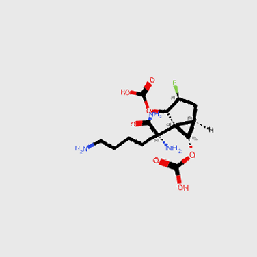 NCCCC[C@@](N)(C(N)=O)[C@@]12C(OC(=O)O)[C@@H](F)C[C@H]1[C@@H]2OC(=O)O